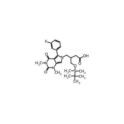 Cn1c(=O)c2c(-c3cccc(F)c3)n(CC(CO[Si](C)(C)C(C)(C)C)CC(=O)O)cc2n(C)c1=O